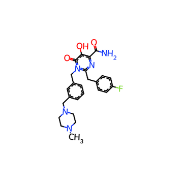 CN1CCN(Cc2cccc(Cn3c(Cc4ccc(F)cc4)nc(C(N)=O)c(O)c3=O)c2)CC1